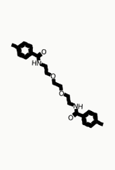 Cc1ccc(C(=O)NCCOCCOCCNC(=O)c2ccc(C)cc2)cc1